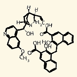 C=C[C@H]1C[N@]2CC[C@H]1C[C@H]2[C@H](O)c1ccnc2ccc(OC)cc12.O=C(O)c1cc2ccccc2c(Cc2c(O)c(C(=O)O)cc3ccccc23)c1O